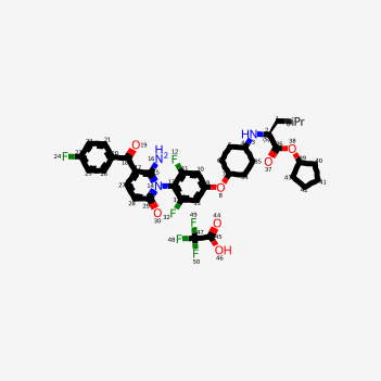 CC(C)C[C@H](NC1CCC(Oc2cc(F)c(-n3c(N)c(C(=O)c4ccc(F)cc4)ccc3=O)c(F)c2)CC1)C(=O)OC1CCCC1.O=C(O)C(F)(F)F